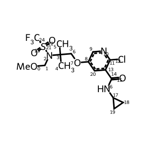 COCN(C(C)(C)COc1cnc(Cl)c(C(=O)NC2CC2)c1)S(=O)(=O)C(F)(F)F